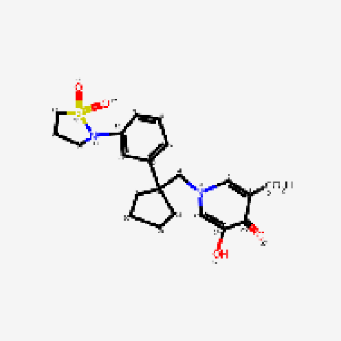 O=C(O)c1cn(CC2(c3cccc(N4CCCS4(=O)=O)c3)CCCC2)cc(O)c1=O